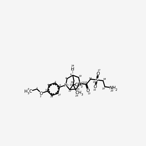 CCOc1ccc(N2C[C@H]3CN(C(=O)CS(=O)(=O)CCN)CC2C(C)(C)C3)cc1